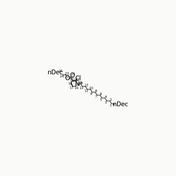 CCCCCCCCCCCCCCCCCCCCCCCC[n+]1cccc(C(=O)OCCCCCCCCCCCC)c1Cl